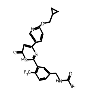 CC(C)C(=O)NCc1ccc(C(F)(F)F)c(-c2nc(-c3ccc(OCC4CC4)nc3)cc(=O)[nH]2)c1